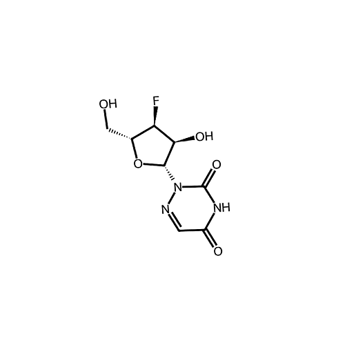 O=c1cnn([C@@H]2O[C@H](CO)[C@@H](F)[C@H]2O)c(=O)[nH]1